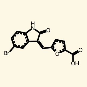 O=C1Nc2ccc(Br)cc2C1=Cc1ccc(C(=O)O)o1